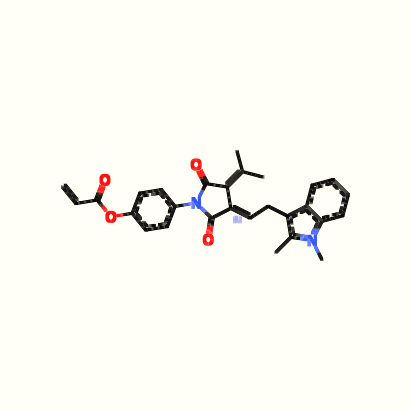 C=CC(=O)Oc1ccc(N2C(=O)C(=C(C)C)/C(=C\Cc3c(C)n(C)c4ccccc34)C2=O)cc1